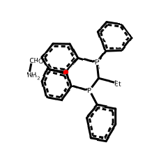 CCC(P(c1ccccc1)c1ccccc1)P(c1ccccc1)c1ccccc1.NC=O